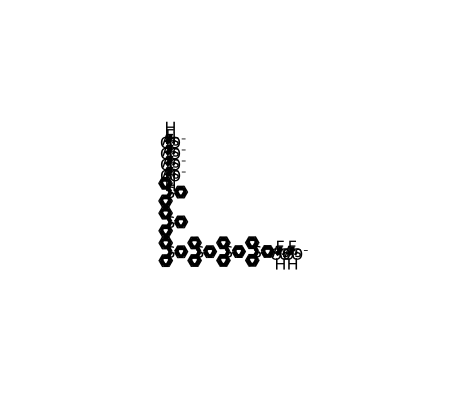 O=[AsH]([O-])F.O=[AsH]([O-])F.O=[AsH]([O-])F.O=[AsH]([O-])F.O=[AsH]([O-])F.O=[AsH]([O-])F.c1ccc([S+](c2ccccc2)c2ccccc2)cc1.c1ccc([S+](c2ccccc2)c2ccccc2)cc1.c1ccc([S+](c2ccccc2)c2ccccc2)cc1.c1ccc([S+](c2ccccc2)c2ccccc2)cc1.c1ccc([S+](c2ccccc2)c2ccccc2)cc1.c1ccc([S+](c2ccccc2)c2ccccc2)cc1